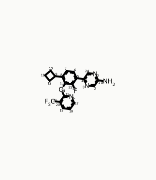 Nc1cnc(-c2ccc(C3CCC3)c(Oc3ncccc3C(F)(F)F)c2F)cn1